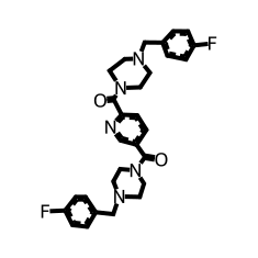 O=C(c1ccc(C(=O)N2CCN(Cc3ccc(F)cc3)CC2)nc1)N1CCN(Cc2ccc(F)cc2)CC1